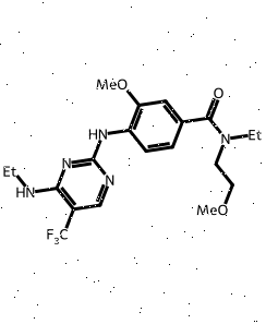 CCNc1nc(Nc2ccc(C(=O)N(CC)CCOC)cc2OC)ncc1C(F)(F)F